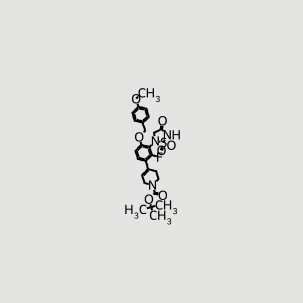 COc1ccc(COc2ccc(C3=CCN(C(=O)OC(C)(C)C)CC3)c(F)c2N2CC(=O)NS2(=O)=O)cc1